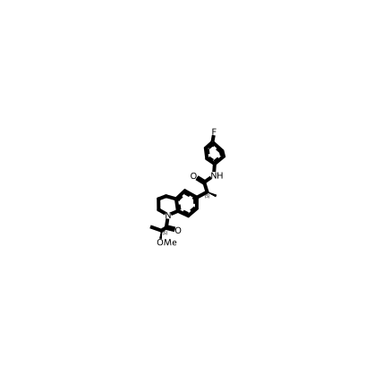 CO[C@@H](C)C(=O)N1CCCc2cc([C@H](C)C(=O)Nc3ccc(F)cc3)ccc21